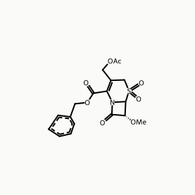 CO[C@@H]1C(=O)N2C(C(=O)OCc3ccccc3)=C(COC(C)=O)CS(=O)(=O)C12